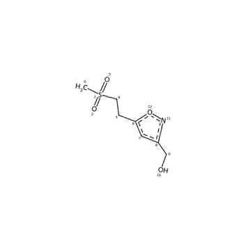 CS(=O)(=O)CCc1cc(CO)no1